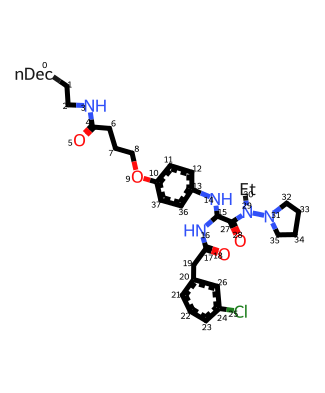 CCCCCCCCCCCCNC(=O)CCCOc1ccc(NC(NC(=O)Cc2cccc(Cl)c2)C(=O)N(CC)N2CCCC2)cc1